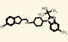 Cc1ccc2c(c1)nc(C(C)(C)O)n2C1CCC(NCC2Cc3ccc(Cl)cc3C2)CC1